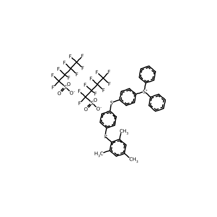 Cc1cc(C)c([I+]c2ccc(Sc3ccc([S+](c4ccccc4)c4ccccc4)cc3)cc2)c(C)c1.O=S(=O)([O-])C(F)(F)C(F)(F)C(F)(F)C(F)(F)F.O=S(=O)([O-])C(F)(F)C(F)(F)C(F)(F)C(F)(F)F